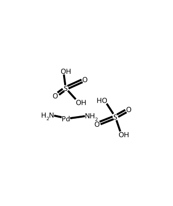 O=S(=O)(O)O.O=S(=O)(O)O.[NH2][Pd][NH2]